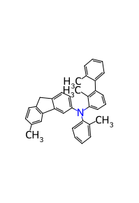 Cc1ccc2c(c1)-c1cc(N(c3ccccc3C)c3cccc(-c4ccccc4C)c3C)ccc1C2